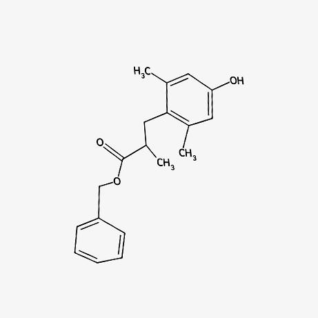 Cc1cc(O)cc(C)c1CC(C)C(=O)OCc1ccccc1